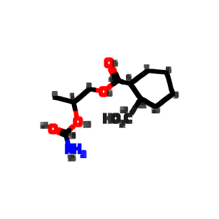 CC(COC(=O)C1CCCCC1C(=O)O)OC(N)=O